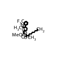 C=CCCCCC[C@H](C)C(=O)N1C[C@@]2(CCc3c(c(C)nc4c(C(F)(F)F)cccc34)O2)C[C@H]1C(=O)OC